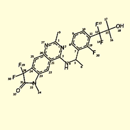 Cc1nc(NC(C)c2cccc(C(F)(F)C(C)(C)O)c2F)c2cc3c(cc2n1)C(F)(F)C(=O)N3C